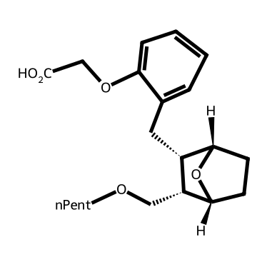 CCCCCOC[C@@H]1[C@H](Cc2ccccc2OCC(=O)O)[C@@H]2CC[C@H]1O2